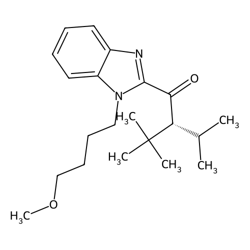 COCCCCn1c(C(=O)[C@H](C(C)C)C(C)(C)C)nc2ccccc21